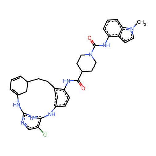 Cn1ccc2c(NC(=O)N3CCC(C(=O)Nc4ccc5cc4CCC4C=CC=C(C4)Nc4ncc(Cl)c(n4)N5)CC3)cccc21